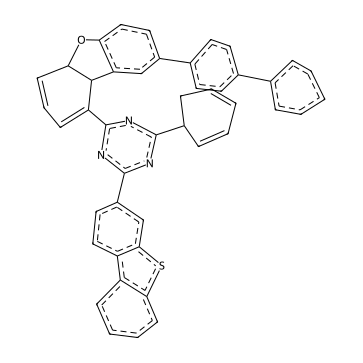 C1=CCC(c2nc(C3=CC=CC4Oc5ccc(-c6ccc(-c7ccccc7)cc6)cc5C34)nc(-c3ccc4c(c3)sc3ccccc34)n2)C=C1